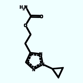 NC(=O)OCCc1cnn(C2CC2)n1